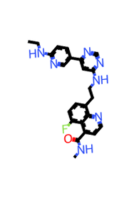 CCNc1ccc(-c2cc(NCCc3ccc(F)c4c(C(=O)NC)ccnc34)ncn2)cn1